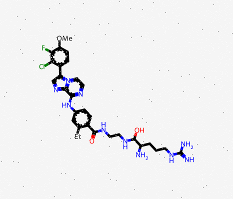 CCc1cc(Nc2nccn3c(-c4ccc(OC)c(F)c4Cl)cnc23)ccc1C(=O)NCCNC(O)C(N)CCCNC(=N)N